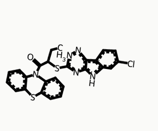 CCC(Sc1nnc2c(n1)[nH]c1cc(Cl)ccc12)C(=O)N1c2ccccc2Sc2ccccc21